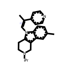 C/C(=C/n1c2c(c3cc(C)ccc31)CN(C(C)C)CC2)c1ccncc1